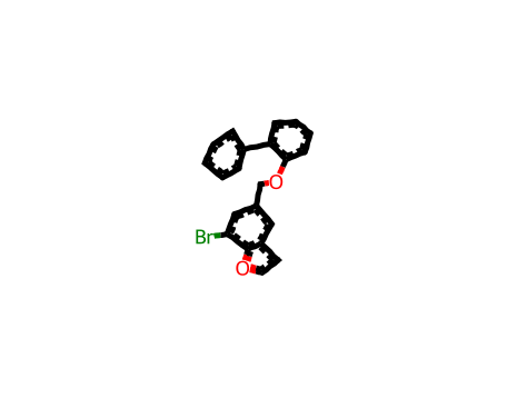 Brc1cc(COc2ccccc2-c2ccccc2)cc2ccoc12